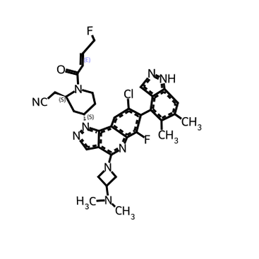 Cc1cc2[nH]ncc2c(-c2c(Cl)cc3c(nc(N4CC(N(C)C)C4)c4cnn([C@H]5CCN(C(=O)/C=C/CF)[C@H](CC#N)C5)c43)c2F)c1C